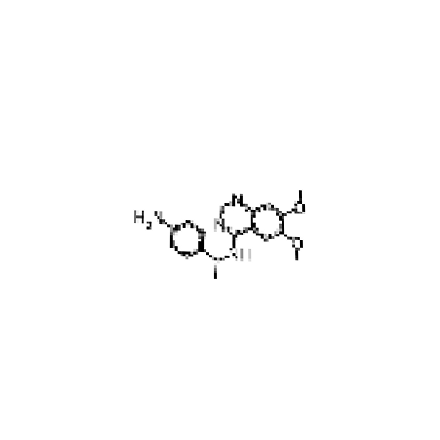 COc1cc2ncnc(NC(C)c3ccc(N)cc3)c2cc1OC